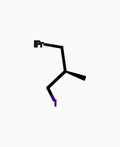 CC(C)C[C@@H](C)CI